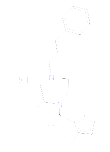 Cc1ccoc1C(=O)N1CCN(CCCc2ccccc2)CC1C.Cl